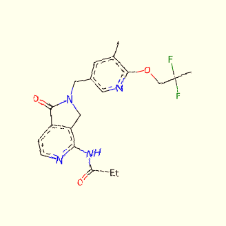 CCC(=O)Nc1nccc2c1CN(Cc1cnc(OCC(C)(F)F)c(C)c1)C2=O